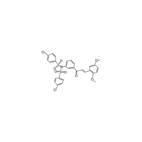 COc1ccc(OC)c(/C=C/C(=O)c2cccc(N(S(=O)(=O)c3ccc(Cl)cc3)S(=O)(=O)c3ccc(Cl)cc3)c2)c1